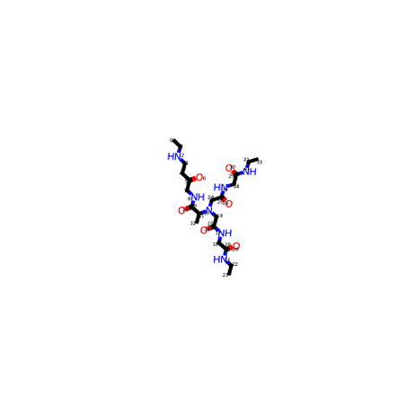 CCNCCC(=O)CNC(=O)C(C)N(CC(=O)NCC(=O)NCC)CC(=O)NCC(=O)NCC